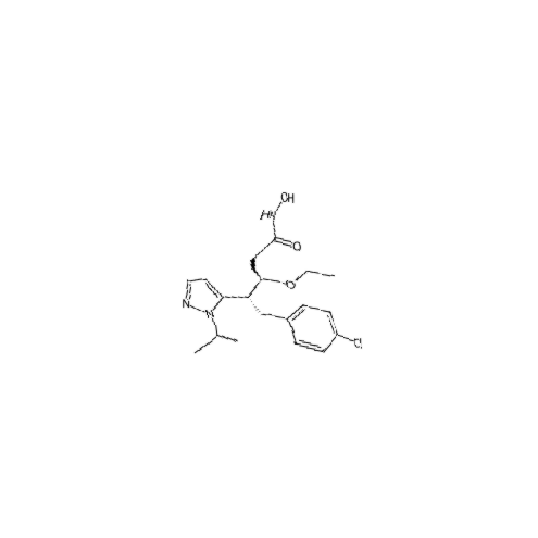 CCO[C@H](CC(=O)NO)[C@H](Cc1ccc(Cl)cc1)c1ccnn1C(C)C